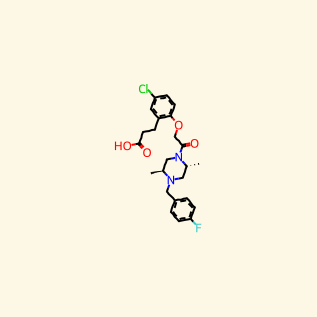 C[C@@H]1CN(Cc2ccc(F)cc2)[C@@H](C)CN1C(=O)COc1ccc(Cl)cc1CCC(=O)O